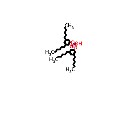 CCCCCCc1cc(CCCCCC)cc(OP(=O)(O)Oc2cc(CCCCCC)cc(CCCCCC)c2)c1